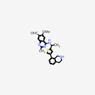 COc1cc2c(NC(C)c3cc(-c4cccc5c4CNCC5)cs3)nc(C)nc2cc1C=O